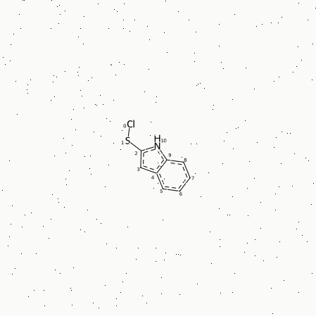 ClSc1cc2ccccc2[nH]1